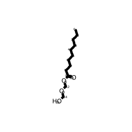 CCCCCCCCCC(=O)OCOCO